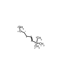 C[Si](C)(C)C=CCCO[SiH3]